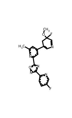 COC1(F)C=NC=C(c2cc(C)nc(-c3nc(-c4ccc(F)cn4)no3)c2)C1